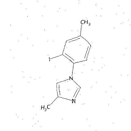 Cc1ccc(-n2cnc(C)c2)c(I)c1